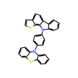 c1ccc2c(c1)Sc1ccccc1N2c1ccc(-n2c3ccccc3c3ccc4ccsc4c32)cc1